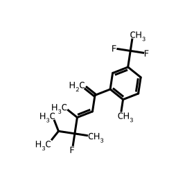 C=C(/C=C(\C)C(C)(F)C(C)C)c1cc(C(C)(F)F)ccc1C